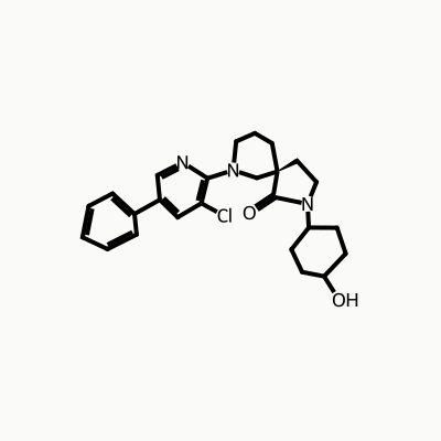 O=C1N(C2CCC(O)CC2)CC[C@@]12CCCN(c1ncc(-c3ccccc3)cc1Cl)C2